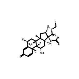 CCC(=O)O[C@]1(C(=O)SCF)[C@H](C)C[C@H]2C3(C)C[C@H](F)C4=CC(=O)C=CC4(C)[C@@]3(F)[C@@H](O)C[C@@]21C